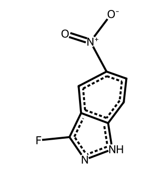 O=[N+]([O-])c1ccc2[nH]nc(F)c2c1